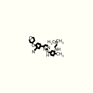 Cc1ccc(Nc2nccc(-c3ccc(OC4CCOCC4)c(C#N)c3)n2)cc1NCCN(C)C